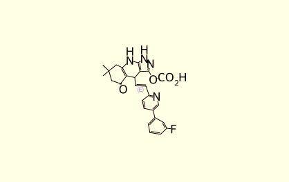 CC1(C)CC(=O)C2=C(C1)Nc1[nH]nc(OC(=O)O)c1C2/C=C/c1ccc(-c2cccc(F)c2)cn1